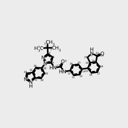 CC(C)(C)c1cc(NC(=O)Nc2ccc(-c3cccc4c3CNC4=O)cc2)n(-c2ccc3[nH]ncc3c2)n1